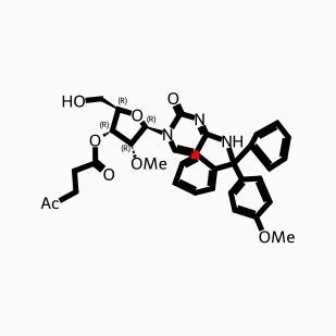 COc1ccc(C(Nc2ccn([C@@H]3O[C@H](CO)[C@@H](OC(=O)CCC(C)=O)[C@H]3OC)c(=O)n2)(c2ccccc2)c2ccccc2)cc1